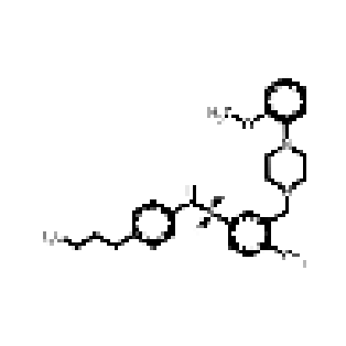 CCCCc1ccc(NS(=O)(=O)c2ccc(C)c(CN3CCN(c4ccccc4OC)CC3)c2)cc1